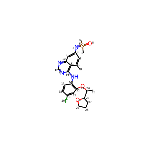 Cc1cc(N=S(C)(C)=O)cc2ncnc(Nc3ccc(F)cc3OC(C)C3CCCO3)c12